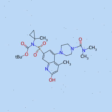 Cc1cc(O)nc2cc(S(=O)(=O)N(C(=O)OC(C)(C)C)C3(C)CC3)cc(N3CCN(C(=O)N(C)C)CC3)c12